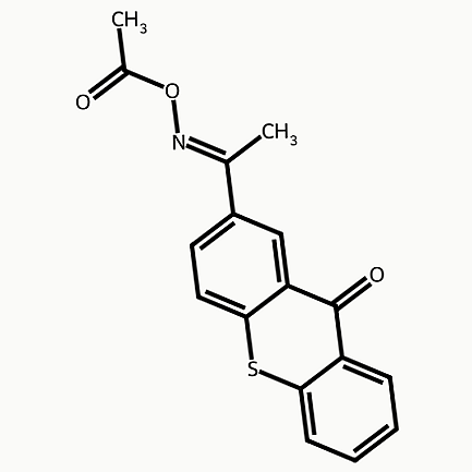 CC(=O)O/N=C(\C)c1ccc2sc3ccccc3c(=O)c2c1